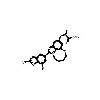 COC(=O)C(C)Oc1cc2c3c(c1)nc(-c1cc(F)c4oc(N)nc4c1)n3CCCCO2